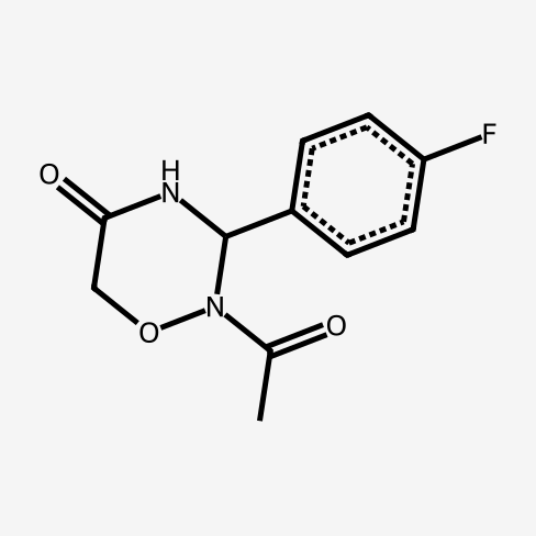 CC(=O)N1OCC(=O)NC1c1ccc(F)cc1